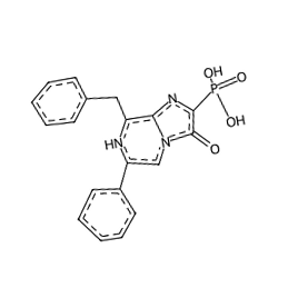 O=c1c(P(=O)(O)O)nc2c(Cc3ccccc3)[nH]c(-c3ccccc3)cn1-2